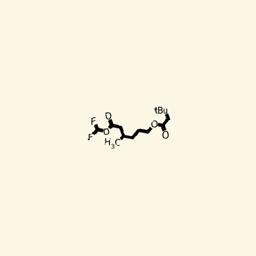 CC(CCCOC(=O)CC(C)(C)C)CC(=O)OC(F)F